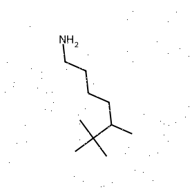 CC(CCCCN)C(C)(C)C